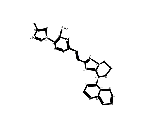 COc1nc(/C=C/c2nc3n(n2)CCC[C@H]3c2cccc3ccccc23)ccc1-n1cnc(C)c1